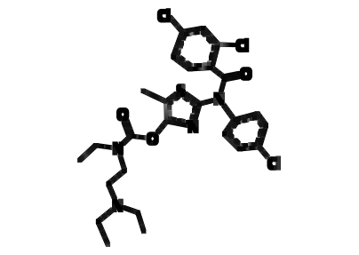 CCN(CC)CCN(CC)C(=O)Oc1nc(N(C(=O)c2ccc(Cl)cc2Cl)c2ccc(Cl)cc2)sc1C